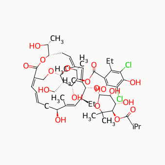 CCc1c(Cl)c(O)c(Cl)c(O)c1C(=O)O[C@H]1[C@H](O)[C@H](CO)[C@H](OC/C2=C\C=C\C[C@H](O)/C(C)=C/[C@H](CC)[C@@H](O[C@H]3OC(C)(C)[C@H](OC(=O)C(C)C)[C@@H](O)[C@H]3O)/C(C)=C/C(C)=C/C[C@@H]([C@@H](C)O)OC2=O)O[C@@H]1C